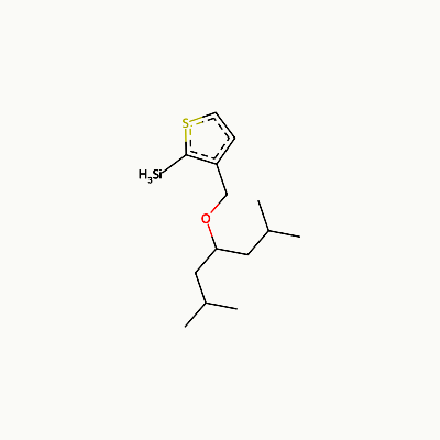 CC(C)CC(CC(C)C)OCc1ccsc1[SiH3]